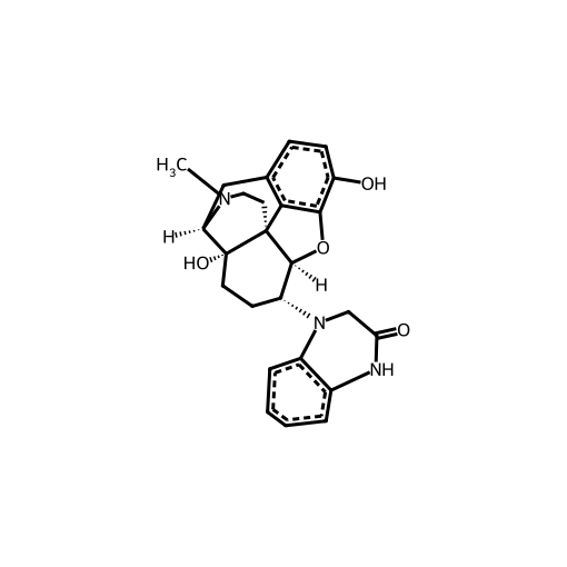 CN1CC[C@]23c4c5ccc(O)c4O[C@H]2[C@H](N2CC(=O)Nc4ccccc42)CC[C@@]3(O)[C@H]1C5